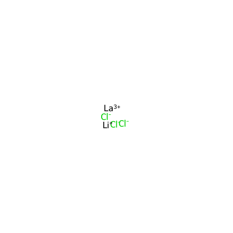 [Cl-].[Cl-].[Cl-].[La+3].[Li+]